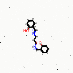 Oc1ccccc1/C=N\CCC/N=C/c1ccccc1O